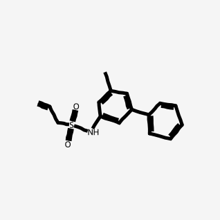 C=CCS(=O)(=O)Nc1cc(C)cc(-c2ccccc2)c1